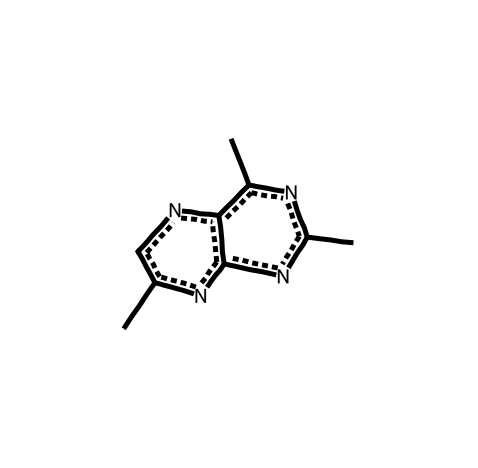 Cc1cnc2c(C)nc(C)nc2n1